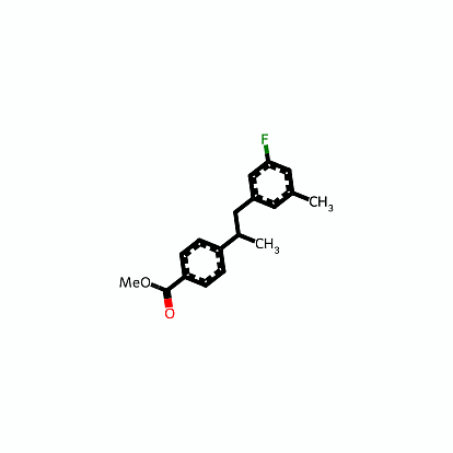 COC(=O)c1ccc(C(C)Cc2cc(C)cc(F)c2)cc1